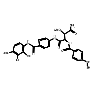 COC(C(N)=O)C(NC(=O)c1ccc(BS)cc1)C(=O)Nc1ccc(C(=O)Nc2ccc(C=O)c(O)c2O)cc1